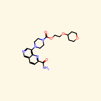 NC(=O)c1ccc2cncc(N3CCN(C(=O)OCCOC4CCOCC4)CC3)c2n1